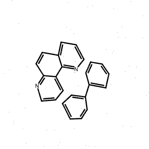 c1ccc(-c2ccccc2)cc1.c1cnc2c(c1)ccc1ncccc12